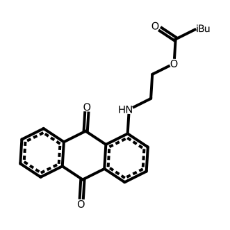 CCC(C)C(=O)OCCNc1cccc2c1C(=O)c1ccccc1C2=O